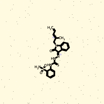 C=C/C=C(\C)CN1C(=O)/C(=N\NC(=S)Nc2ccccc2S(N)(=O)=O)c2ccccc21